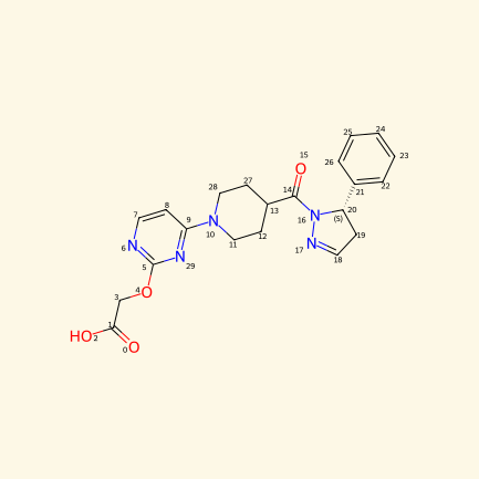 O=C(O)COc1nccc(N2CCC(C(=O)N3N=CC[C@H]3c3ccccc3)CC2)n1